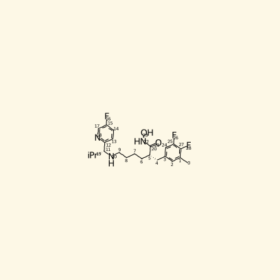 Cc1cc(C[C@H](CCCCN[C@@H](c2ccc(F)cn2)C(C)C)C(=O)NO)cc(F)c1F